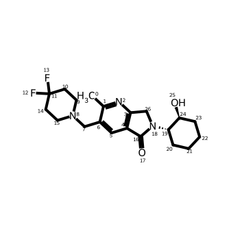 Cc1nc2c(cc1CN1CCC(F)(F)CC1)C(=O)N([C@H]1CCCC[C@@H]1O)C2